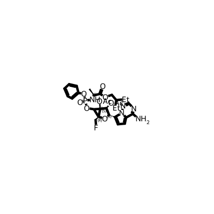 CCC(CC)COC(=O)[C@H](C)NP(=O)(Oc1ccccc1)OC1[C@@]2(CF)O[C@@H](c3ccc4c(N)ncnn34)[C@H](OC(C)=O)[C@@]12OC(C)=O